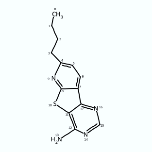 CCCCc1ccc2c(n1)sc1c(N)ncnc12